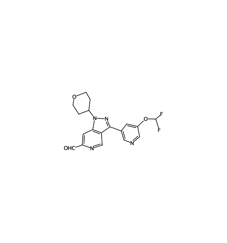 O=Cc1cc2c(cn1)c(-c1cncc(OC(F)F)c1)nn2C1CCOCC1